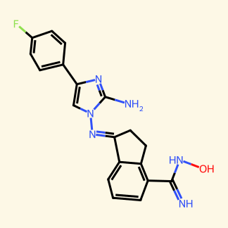 N=C(NO)c1cccc2c1CC/C2=N\n1cc(-c2ccc(F)cc2)nc1N